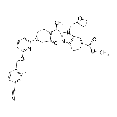 COC(=O)c1ccc2nc([C@H](C)N3CCN(c4cccc(OCc5ccc(C#N)cc5F)n4)CC3=O)n(CC3CCO3)c2c1